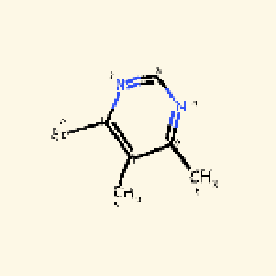 CCc1ncnc(C)c1C